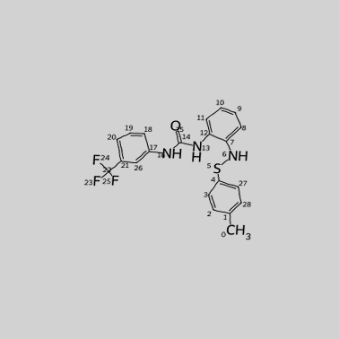 Cc1ccc(SNc2ccccc2NC(=O)Nc2cccc(C(F)(F)F)c2)cc1